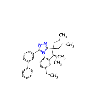 CCCC(CCC)(CCC)c1nnc(-c2cccc(-c3ccccc3)c2)n1-c1ccc(CC)cc1CC